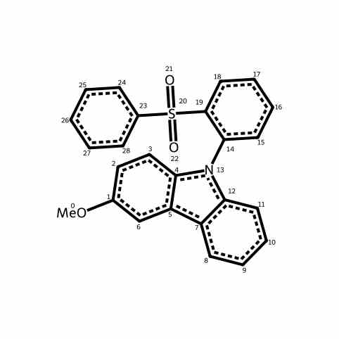 COc1ccc2c(c1)c1ccccc1n2-c1ccccc1S(=O)(=O)c1ccccc1